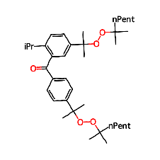 CCCCCC(C)(C)OOC(C)(C)c1ccc(C(=O)c2cc(C(C)(C)OOC(C)(C)CCCCC)ccc2C(C)C)cc1